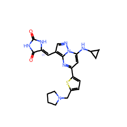 O=C1NC(=O)/C(=C/c2cnn3c(NC4CC4)cc(-c4ccc(CN5CCCC5)s4)nc23)N1